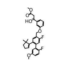 COC(=O)C[C@@H](O)c1cccc(OCc2cc(C3=CCCC3(C)C)c(-c3cc(OC)ccc3F)cc2F)c1